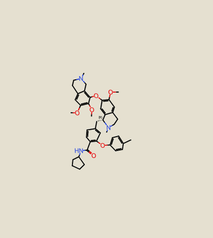 COc1cc2c(cc1Oc1c3c(cc(OC)c1OC)CCN(C)C3)[C@@H](Cc1ccc(C(=O)NC3CCCC3)c(Oc3ccc(C)cc3)c1)N(C)CC2